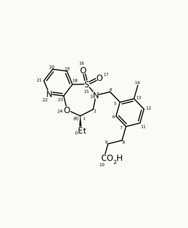 CC[C@@H]1CN(Cc2cc(CCC(=O)O)ccc2C)S(=O)(=O)c2cccnc2O1